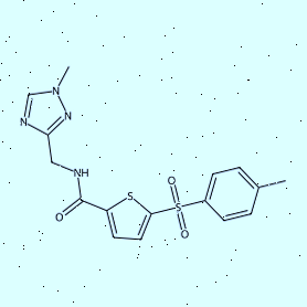 Cc1ccc(S(=O)(=O)c2ccc(C(=O)NCc3ncn(C)n3)s2)cc1